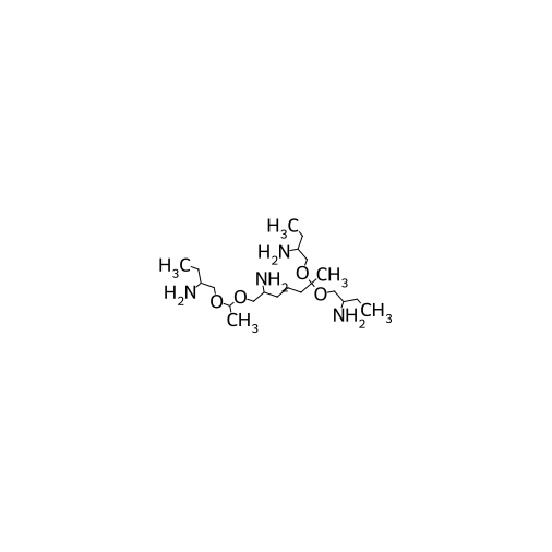 CCC(N)COC(C)OCC(N)CCCC(C)(OCC(N)CC)OCC(N)CC